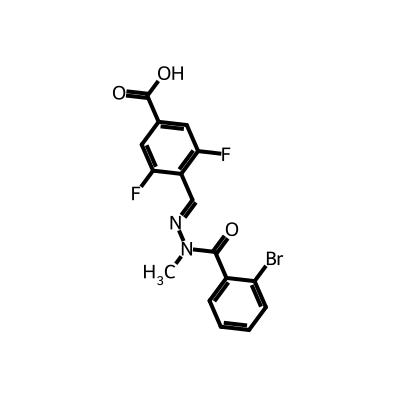 CN(/N=C/c1c(F)cc(C(=O)O)cc1F)C(=O)c1ccccc1Br